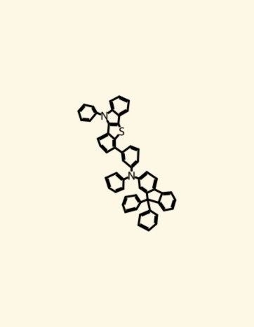 c1ccc(N(c2cccc(-c3cccc4c3sc3c5ccccc5n(-c5ccccc5)c43)c2)c2ccc3c(c2)C(c2ccccc2)(c2ccccc2)c2ccccc2-3)cc1